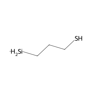 [SiH2]CCCS